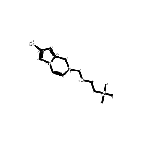 C[Si](C)(C)CCOCN1C=Cn2cc(Br)cc2C1